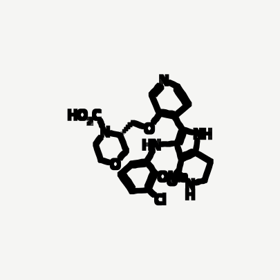 COc1c(Cl)cccc1Nc1c(-c2ccncc2OC[C@@H]2COCCN2C(=O)O)[nH]c2c1C(=O)NCC2